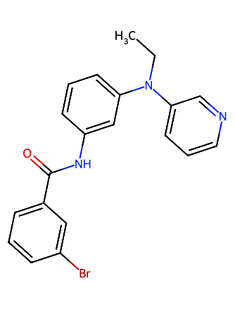 CCN(c1cccnc1)c1cccc(NC(=O)c2cccc(Br)c2)c1